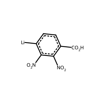 [Li][c]1ccc(C(=O)O)c([N+](=O)[O-])c1[N+](=O)[O-]